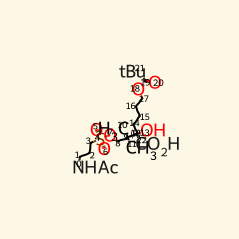 CC(=O)NCCCS(=O)(=O)OCC(C)(C)[C@](O)(CCCCOC(=O)C(C)(C)C)C(=O)O